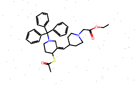 CCOC(=O)CN1CCC(/C=C2\CN(C(c3ccccc3)(c3ccccc3)c3ccccc3)CCC2SC(C)=O)CC1